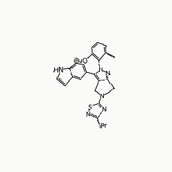 Cc1cccc(OCC(C)C)c1-n1nc2c(c1-c1ccc3[nH]ccc3c1)CN(c1nc(C(C)C)ns1)CC2